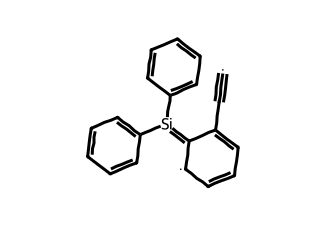 [C]#CC1=CC=C[CH]C1=[Si](c1ccccc1)c1ccccc1